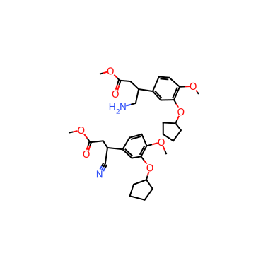 COC(=O)CC(C#N)c1ccc(OC)c(OC2CCCC2)c1.COC(=O)CC(CN)c1ccc(OC)c(OC2CCCC2)c1